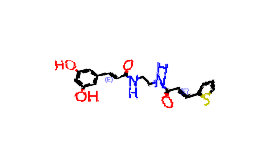 O=C(/C=C/c1cc(O)cc(O)c1)NCCNC(=O)/C=C/c1cccs1